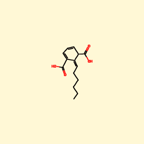 CCCCCC=C1C(C(=O)O)=CC=CC1C(=O)O